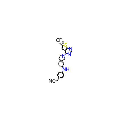 N#CCc1ccc(N[C@H]2CC[C@@]3(CCN(c4ncnc5sc(CC(F)(F)F)cc45)C3)C2)cc1